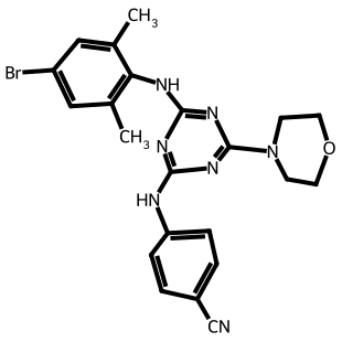 Cc1cc(Br)cc(C)c1Nc1nc(Nc2ccc(C#N)cc2)nc(N2CCOCC2)n1